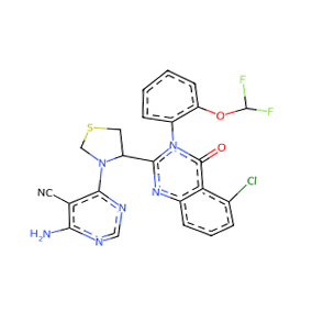 N#Cc1c(N)ncnc1N1CSCC1c1nc2cccc(Cl)c2c(=O)n1-c1ccccc1OC(F)F